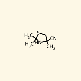 CC1(C#N)CSC(C)(C)N1